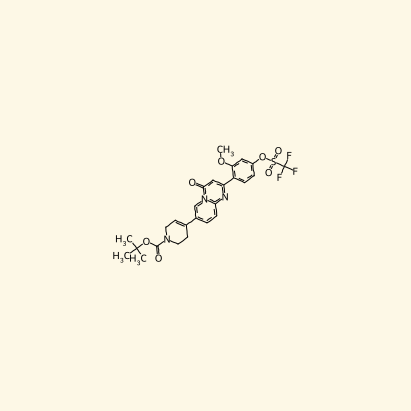 COc1cc(OS(=O)(=O)C(F)(F)F)ccc1-c1cc(=O)n2cc(C3=CCN(C(=O)OC(C)(C)C)CC3)ccc2n1